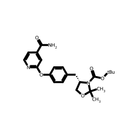 CC(C)(C)OC(=O)N1[C@@H](Cc2ccc(Oc3cc(C(N)=O)ccn3)cc2)COC1(C)C